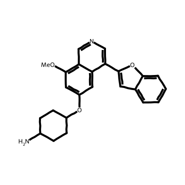 COc1cc(OC2CCC(N)CC2)cc2c(-c3cc4ccccc4o3)cncc12